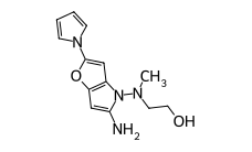 CN(CCO)n1c(N)cc2oc(-n3cccc3)cc21